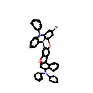 Cc1cc2c3c(c1)N(c1ccccc1)c1ccccc1B3c1cc3oc4cc(N(c5ccccc5)c5ccccc5)c5ccccc5c4c3cc1O2